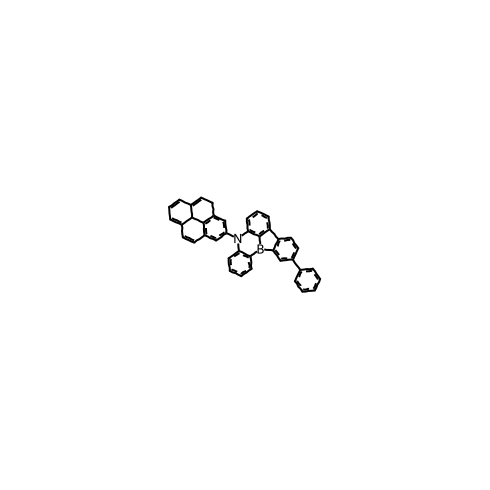 C1=CC2=CCc3cc(N4c5ccccc5B5c6cc(-c7ccccc7)ccc6-c6cccc4c65)cc4c3C2C(=C1)C=C4